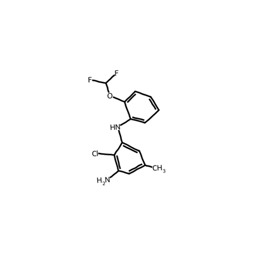 Cc1cc(N)c(Cl)c(Nc2ccccc2OC(F)F)c1